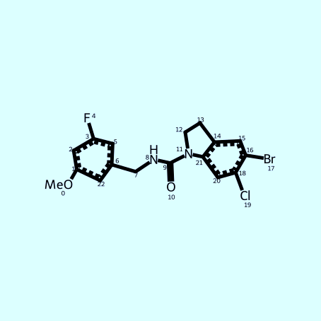 COc1cc(F)cc(CNC(=O)N2CCc3cc(Br)c(Cl)cc32)c1